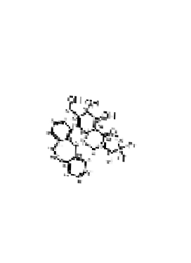 C[C@@H](N1CN([C@H]2c3ccccc3CSc3ccccc32)N2C=C(CO)C(O)C(O)=C2C1=O)C(F)(F)F